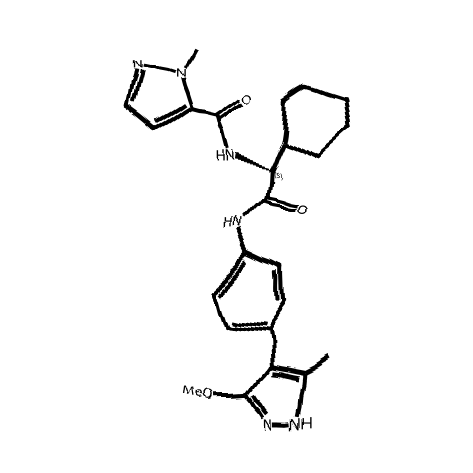 COc1n[nH]c(C)c1-c1ccc(NC(=O)[C@@H](NC(=O)c2ccnn2C)C2CCCCC2)cc1